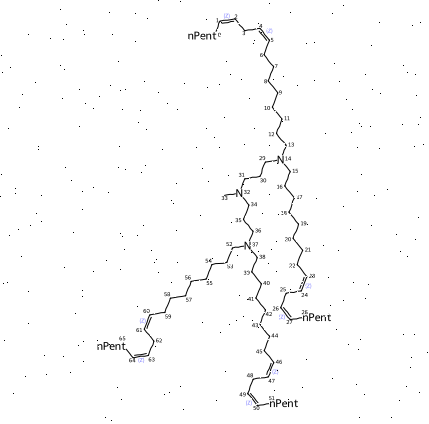 CCCCC/C=C\C/C=C\CCCCCCCCN(CCCCCCCC/C=C\C/C=C\CCCCC)CCCN(C)CCCN(CCCCCCCC/C=C\C/C=C\CCCCC)CCCCCCCC/C=C\C/C=C\CCCCC